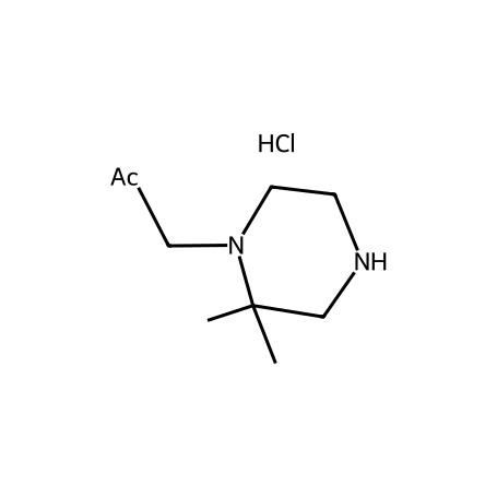 CC(=O)CN1CCNCC1(C)C.Cl